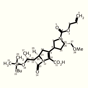 C=CCOC(=O)N1CC(C2=C(C(=O)O)N3C(=O)[C@H]([C@@H](C)O[Si](C)(C)C(C)(C)C)[C@H]3C2)C[C@H]1COC